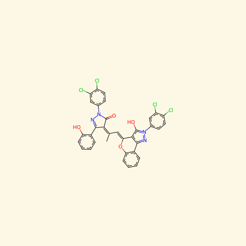 CC(/C=C1\Oc2ccccc2-c2nn(-c3ccc(Cl)c(Cl)c3)c(O)c21)=C1/C(=O)N(c2ccc(Cl)c(Cl)c2)N=C1c1ccccc1O